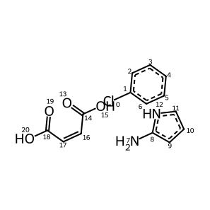 Clc1ccccc1.Nc1ccc[nH]1.O=C(O)/C=C\C(=O)O